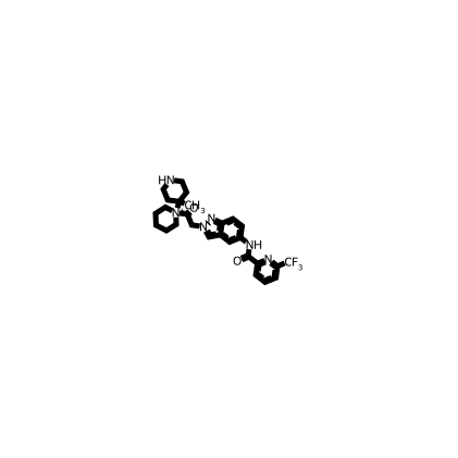 CC1([N+]2(C(=O)Cn3cc4cc(NC(=O)c5cccc(C(F)(F)F)n5)ccc4n3)CCCCC2)CCNCC1